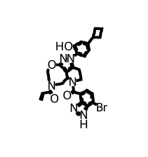 C=CC(=O)N1CCOc2nn(-c3ccc(C4CCC4)cc3O)c3c2C(C1)N(C(=O)c1ccc(Br)c2[nH]cnc12)CC3